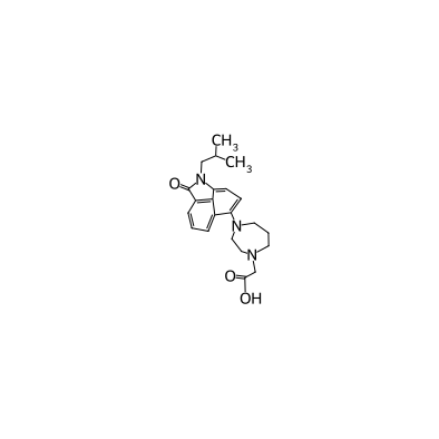 CC(C)CN1C(=O)c2cccc3c(N4CCCN(CC(=O)O)CC4)ccc1c23